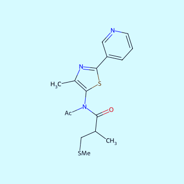 CSCC(C)C(=O)N(C(C)=O)c1sc(-c2cccnc2)nc1C